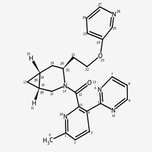 Cc1ccc(-c2ncccn2)c(C(=O)N2C[C@@H]3C[C@@H]3C[C@H]2CCOc2cccnc2)n1